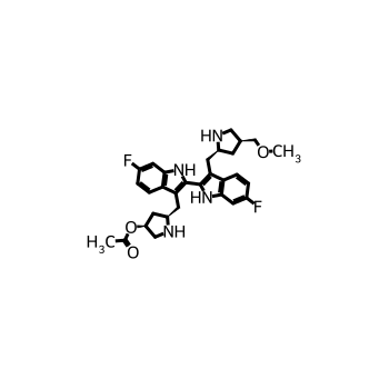 COC[C@@H]1CN[C@H](Cc2c(-c3[nH]c4cc(F)ccc4c3C[C@@H]3C[C@H](OC(C)=O)CN3)[nH]c3cc(F)ccc23)C1